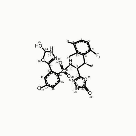 Cc1ccc(F)c([C@@H](C)[C@H](NS(=O)(=O)c2ccc(Cl)cc2C2=NNC(O)O2)c2n[nH]c(=O)o2)c1C